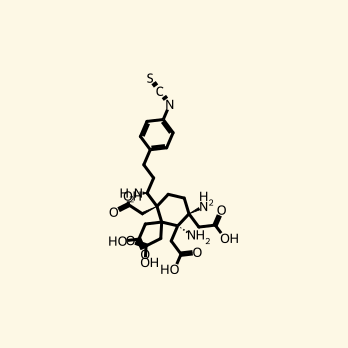 N[C@@H](CCc1ccc(N=C=S)cc1)[C@]1(CC(=O)O)CC[C@](N)(CC(=O)O)[C@@](N)(CC(=O)O)C1(CC(=O)O)CC(=O)O